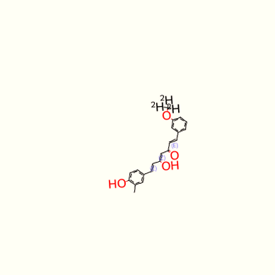 [2H]C([2H])([2H])Oc1cccc(/C=C/C(=O)/C=C(O)/C=C/c2ccc(O)c(C)c2)c1